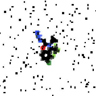 [N-]=[N+]=NCC(=O)N(C1CC1)C(c1cccc(Cl)c1F)C(F)(F)F